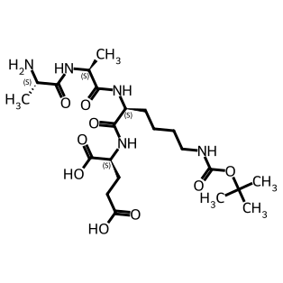 C[C@H](N)C(=O)N[C@@H](C)C(=O)N[C@@H](CCCCNC(=O)OC(C)(C)C)C(=O)N[C@@H](CCC(=O)O)C(=O)O